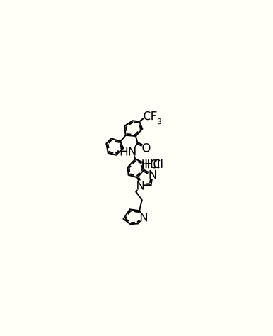 Cl.Cl.O=C(Nc1ccc2c(c1)ncn2CCc1ccccn1)c1cc(C(F)(F)F)ccc1-c1ccccc1